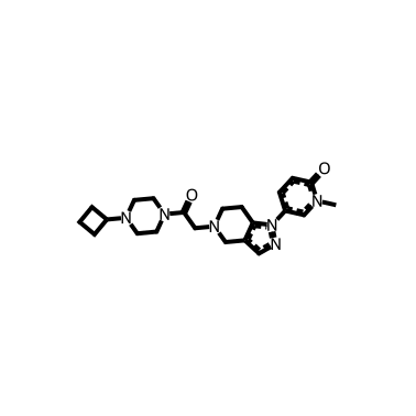 Cn1cc(-n2ncc3c2CCN(CC(=O)N2CCN(C4CCC4)CC2)C3)ccc1=O